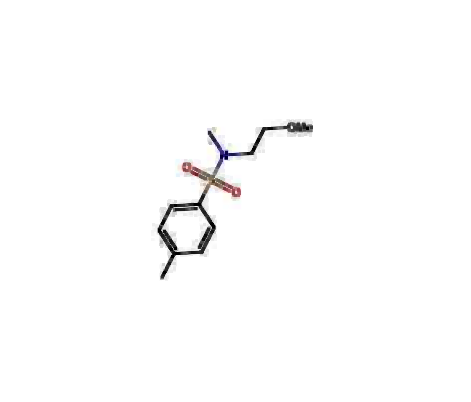 COCCN(C)S(=O)(=O)c1ccc(C)cc1